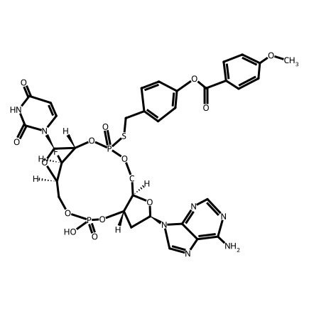 COc1ccc(C(=O)Oc2ccc(CSP3(=O)OC[C@H]4O[C@@H](n5cnc6c(N)ncnc65)C[C@@H]4OP(=O)(O)OC[C@H]4O[C@@H](n5ccc(=O)[nH]c5=O)[C@H](O3)[C@@H]4F)cc2)cc1